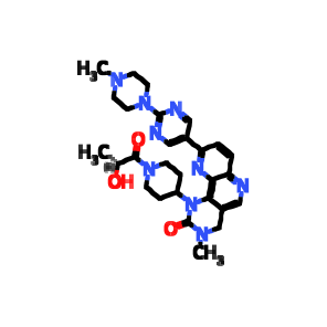 C[C@@H](O)C(=O)N1CCC(N2C(=O)N(C)Cc3cnc4ccc(-c5cnc(N6CCN(C)CC6)nc5)nc4c32)CC1